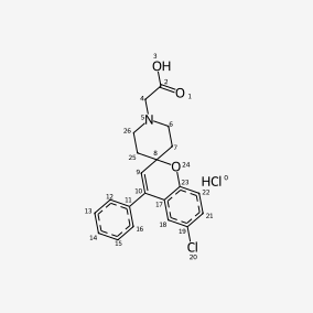 Cl.O=C(O)CN1CCC2(C=C(c3ccccc3)c3cc(Cl)ccc3O2)CC1